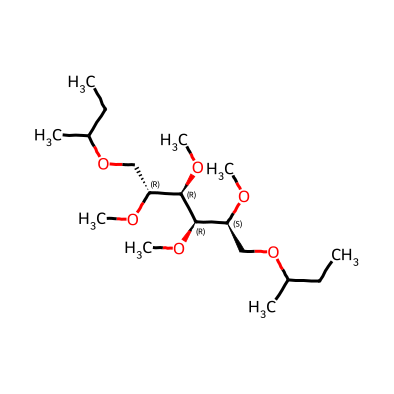 CCC(C)OC[C@H](OC)[C@@H](OC)[C@H](OC)[C@@H](COC(C)CC)OC